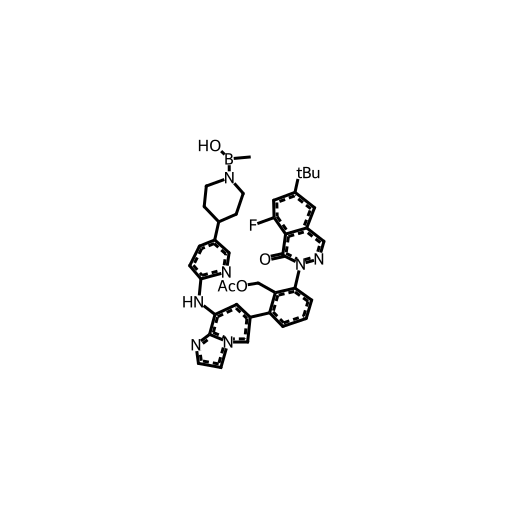 CB(O)N1CCC(c2ccc(Nc3cc(-c4cccc(-n5ncc6cc(C(C)(C)C)cc(F)c6c5=O)c4COC(C)=O)cn4ccnc34)nc2)CC1